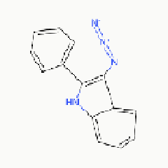 [N-]=[N+]=Nc1c(-c2ccccc2)[nH]c2ccccc12